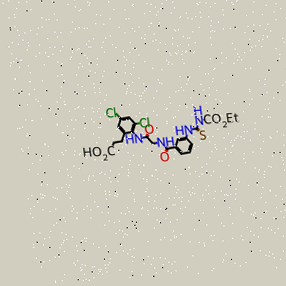 CCOC(=O)NC(=S)Nc1cccc(C(=O)NCC(=O)Nc2c(Cl)cc(Cl)cc2CCC(=O)O)c1